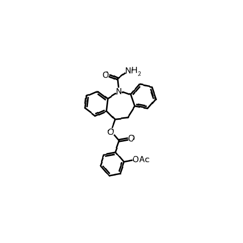 CC(=O)Oc1ccccc1C(=O)OC1Cc2ccccc2N(C(N)=O)c2ccccc21